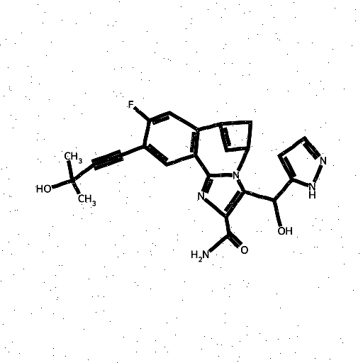 CC(C)(O)C#Cc1cc2c(cc1F)C1=CC(C1)n1c-2nc(C(N)=O)c1C(O)c1ccn[nH]1